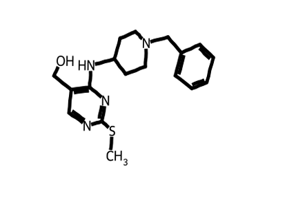 CSc1ncc(CO)c(NC2CCN(Cc3ccccc3)CC2)n1